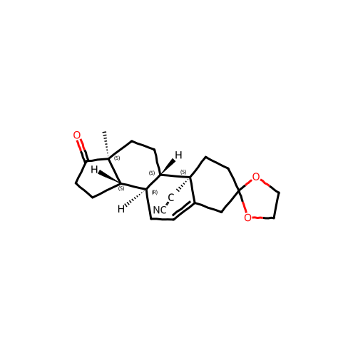 C[C@]12CC[C@H]3[C@@H](CC=C4CC5(CC[C@@]43CC#N)OCCO5)[C@@H]1CCC2=O